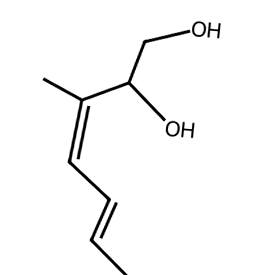 CC=CC=C(C)C(O)CO